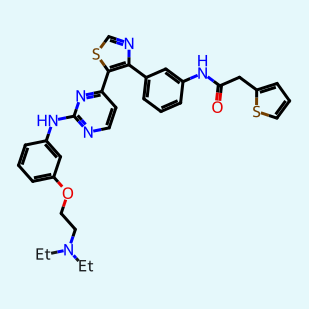 CCN(CC)CCOc1cccc(Nc2nccc(-c3scnc3-c3cccc(NC(=O)Cc4cccs4)c3)n2)c1